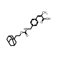 CC(=Cc1ccc(CNC(=O)OCCC23CC4CC(CC(C4)C2)C3)cc1)C(=O)O